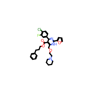 O=C(OCCCc1ccccc1)C1=C(COCCN2CCCCC2)NC(c2ccco2)=NC1c1ccc(Cl)c(F)c1